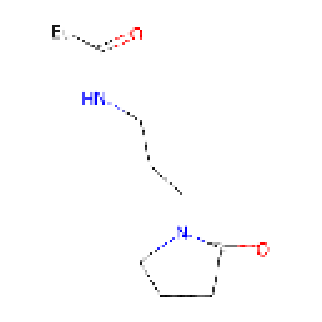 [CH2]CC(=O)NCCCN1CCCC1=O